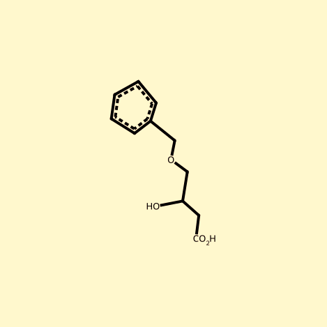 O=C(O)CC(O)COCc1ccccc1